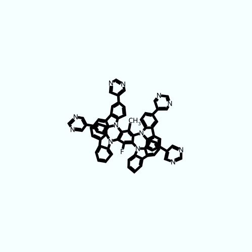 Cc1c(-n2c3ccc(-c4cncnc4)cc3c3cc(-c4cncnc4)ccc32)c(-n2c3ccccc3c3ccccc32)c(F)c(-n2c3ccccc3c3ccccc32)c1-n1c2ccc(-c3cncnc3)cc2c2cc(-c3cncnc3)ccc21